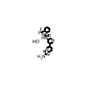 Cl.Nc1nc2ccc(-c3cncc(NS(=O)(=O)c4ccccc4C(F)(F)F)c3)cn2n1